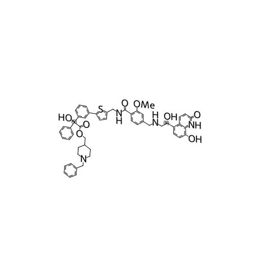 COc1cc(CNC[C@H](O)c2ccc(O)c3[nH]c(=O)ccc23)ccc1C(=O)NCc1ccc(-c2cccc([C@](O)(C(=O)OCC3CCN(Cc4ccccc4)CC3)c3ccccc3)c2)s1